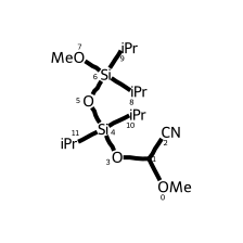 COC(C#N)O[Si](O[Si](OC)(C(C)C)C(C)C)(C(C)C)C(C)C